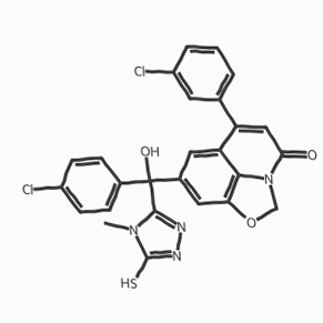 Cn1c(S)nnc1C(O)(c1ccc(Cl)cc1)c1cc2c3c(c1)c(-c1cccc(Cl)c1)cc(=O)n3CO2